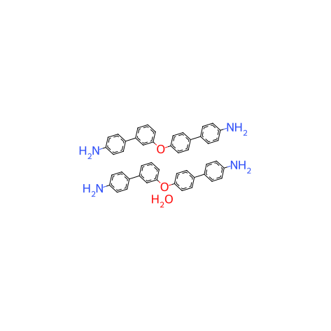 Nc1ccc(-c2ccc(Oc3cccc(-c4ccc(N)cc4)c3)cc2)cc1.Nc1ccc(-c2ccc(Oc3cccc(-c4ccc(N)cc4)c3)cc2)cc1.O